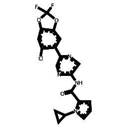 O=C(Nc1cnc(-c2cc3c(cc2Cl)OC(F)(F)O3)cn1)c1cccn1C1CC1